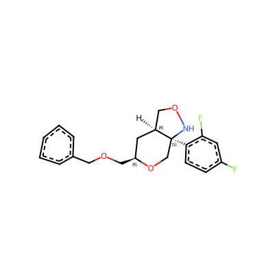 Fc1ccc([C@]23CO[C@@H](COCc4ccccc4)C[C@H]2CON3)c(F)c1